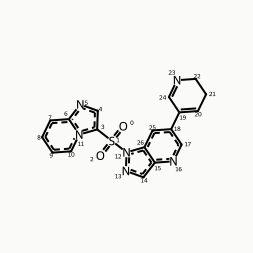 O=S(=O)(c1cnc2ccccn12)n1ncc2ncc(C3=CCCN=C3)cc21